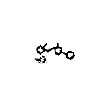 Cc1cc(-c2ccccc2)ccc1/C=C/c1c(C)cccc1-n1nn[nH]c1=O